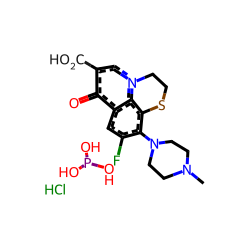 CN1CCN(c2c(F)cc3c(=O)c(C(=O)O)cn4c3c2SCC4)CC1.Cl.OP(O)O